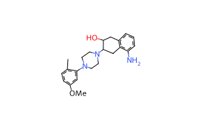 COc1ccc(C)c(N2CCN(C3Cc4c(N)cccc4CC3O)CC2)c1